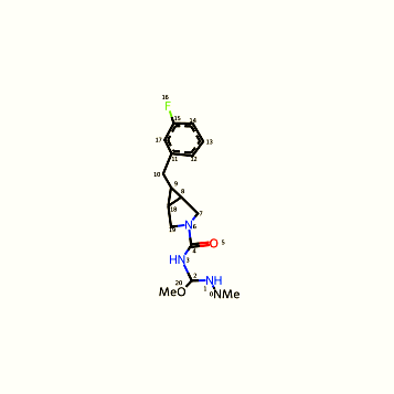 CNNC(NC(=O)N1CC2C(Cc3cccc(F)c3)C2C1)OC